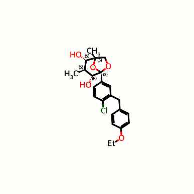 CCOc1ccc(Cc2cc([C@]34OC[C@](C)(O3)[C@@H](O)[C@H](C)[C@H]4O)ccc2Cl)cc1